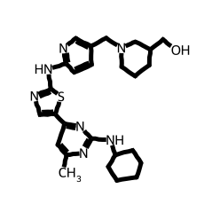 Cc1cc(-c2cnc(Nc3ccc(CN4CCCC(CO)C4)cn3)s2)nc(NC2CCCCC2)n1